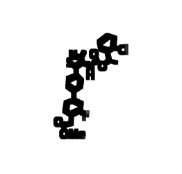 COC(=O)Cc1ccc(-c2ccc(-c3snc(C)c3NC(=O)O[C@H](C)c3ccccc3Cl)cc2)cc1F